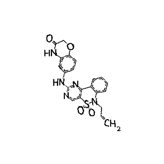 C=CCN1c2ccccc2-c2nc(Nc3ccc4c(c3)NC(=O)CO4)ncc2S1(=O)=O